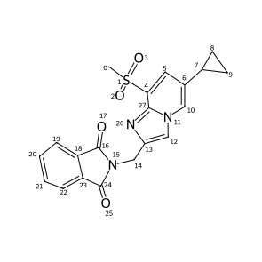 CS(=O)(=O)c1cc(C2CC2)cn2cc(CN3C(=O)c4ccccc4C3=O)nc12